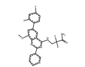 COc1cc(-c2ccc(F)cc2F)cc2c(NCC(F)(F)C(N)=O)nc(-c3cccnc3)nc12